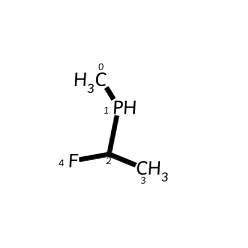 CPC(C)F